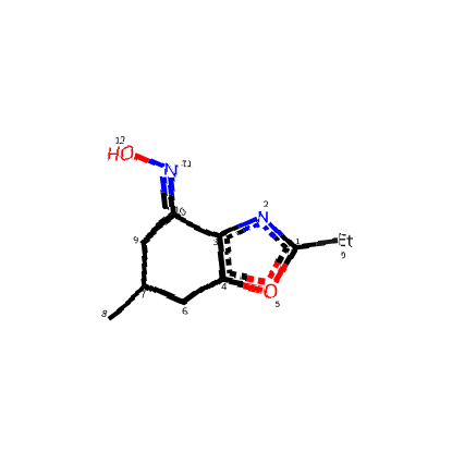 CCc1nc2c(o1)CC(C)CC2=NO